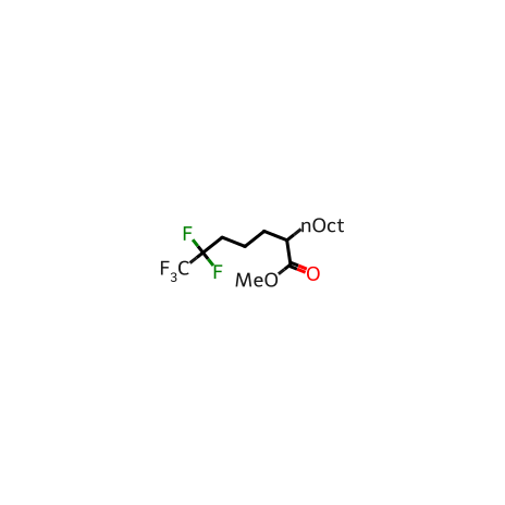 [CH2]CCCCCCCC(CCCC(F)(F)C(F)(F)F)C(=O)OC